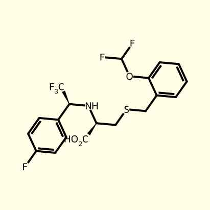 O=C(O)[C@H](CSCc1ccccc1OC(F)F)N[C@@H](c1ccc(F)cc1)C(F)(F)F